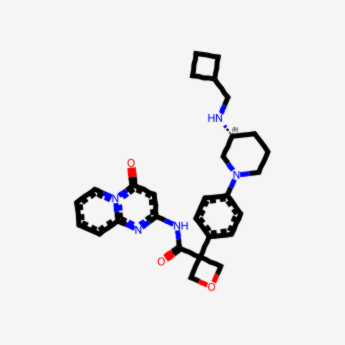 O=C(Nc1cc(=O)n2ccccc2n1)C1(c2ccc(N3CCC[C@@H](NCC4CCC4)C3)cc2)COC1